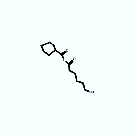 NCCCCCC(=O)OC(=O)C1CCCCC1